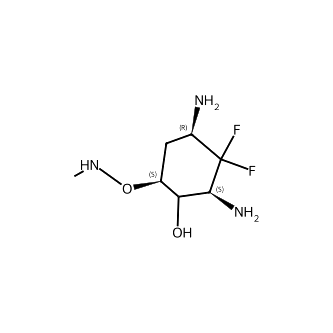 CNO[C@H]1C[C@@H](N)C(F)(F)[C@@H](N)C1O